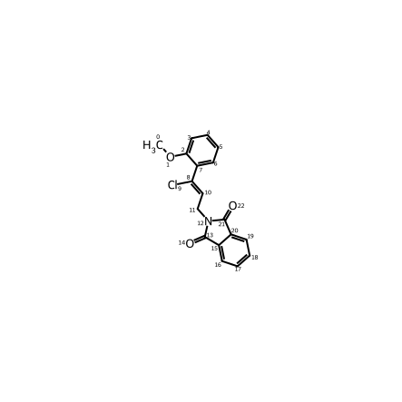 COc1ccccc1C(Cl)=CCN1C(=O)c2ccccc2C1=O